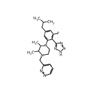 CC(C)Cc1cc(F)c(-c2nn[nH]n2)c(N2CCN(Cc3cccnn3)C(C)C2C)c1